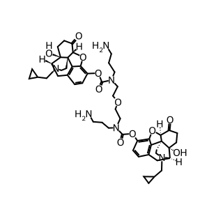 NCCCN(CCOCCN(CCCN)C(=O)Oc1ccc2c3c1O[C@H]1C(=O)CC[C@@]4(O)[C@@H](C2)N(CC2CC2)CC[C@]314)C(=O)Oc1ccc2c3c1O[C@H]1C(=O)CC[C@@]4(O)[C@@H](C2)N(CC2CC2)CC[C@]314